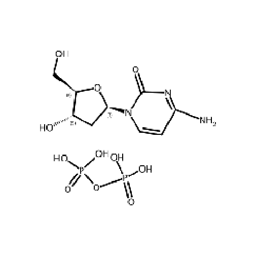 Nc1ccn([C@H]2C[C@H](O)[C@@H](CO)O2)c(=O)n1.O=P(O)(O)OP(=O)(O)O